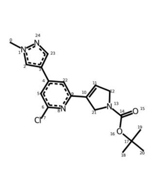 Cn1cc(-c2cc(Cl)nc(C3=CCN(C(=O)OC(C)(C)C)C3)c2)cn1